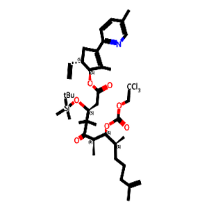 C=C[C@@H]1CC(c2ccc(C)cn2)=C(C)[C@H]1OC(=O)C[C@H](O[Si](C)(C)C(C)(C)C)C(C)(C)C(=O)[C@H](C)[C@@H](OC(=O)OCC(Cl)(Cl)Cl)[C@@H](C)CCCC(=C)C